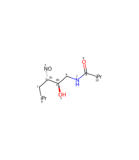 CC(C)C[C@H](N=O)[C@H](O)CNC(=O)C(C)C